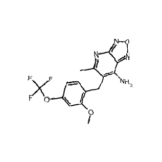 COc1cc(OC(F)(F)F)ccc1Cc1c(C)nc2nonc2c1N